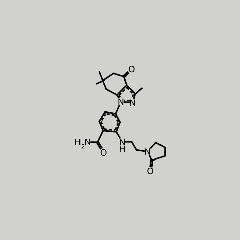 Cc1nn(-c2ccc(C(N)=O)c(NCCN3CCCC3=O)c2)c2c1C(=O)CC(C)(C)C2